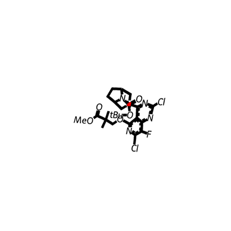 COC(=O)C(C)(C)COc1nc(Cl)c(F)c2nc(Cl)nc(N3CC4CCC(C3)N4C(=O)OC(C)(C)C)c12